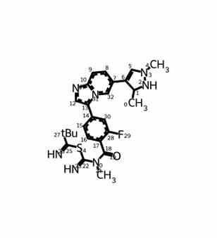 CC1NN(C)C=C1c1ccc2ncc(-c3ccc(C(=O)N(C)C(=N)SC(=N)C(C)(C)C)c(F)c3)n2c1